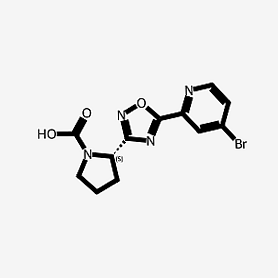 O=C(O)N1CCC[C@H]1c1noc(-c2cc(Br)ccn2)n1